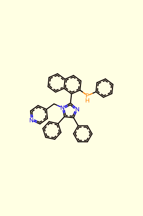 c1ccc(Pc2ccc3ccccc3c2-c2nc(-c3ccccc3)c(-c3ccccc3)n2Cc2ccncc2)cc1